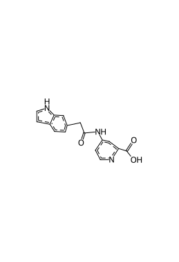 O=C(Cc1ccc2cc[nH]c2c1)Nc1ccnc(C(=O)O)c1